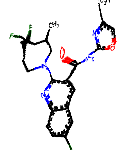 CC1CN(c2nc3ccc(F)cc3cc2C(=O)Nc2nc(C(=O)O)co2)CCC1(F)F